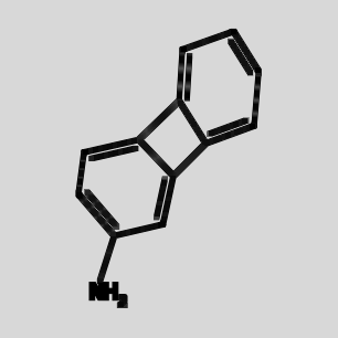 Nc1ccc2c(c1)-c1ccccc1-2